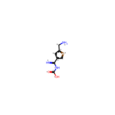 N=C(NC(=O)O)c1csc(CN)c1